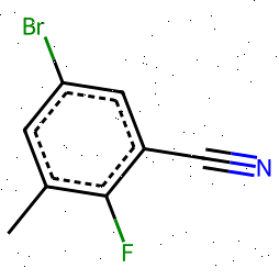 Cc1cc(Br)cc(C#N)c1F